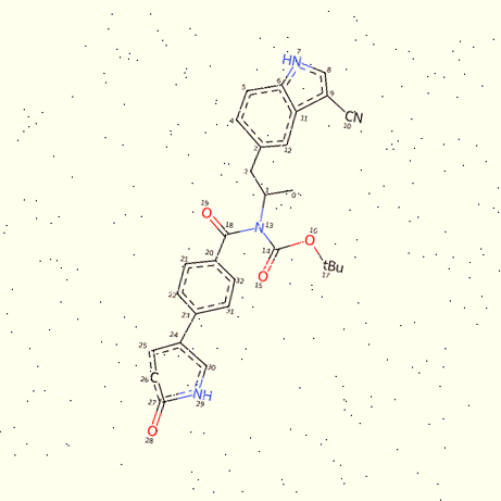 CC(Cc1ccc2[nH]cc(C#N)c2c1)N(C(=O)OC(C)(C)C)C(=O)c1ccc(-c2ccc(=O)[nH]c2)cc1